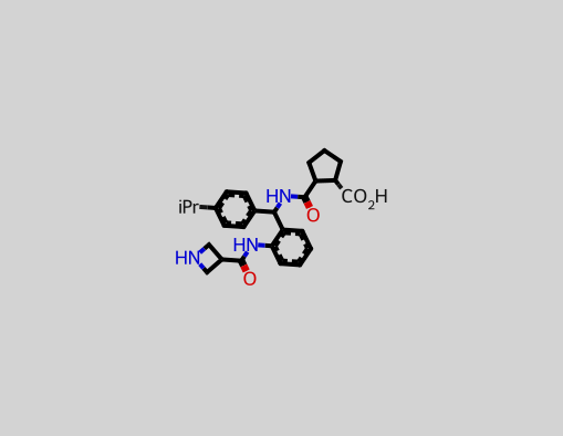 CC(C)c1ccc(C(NC(=O)C2CCCC2C(=O)O)c2ccccc2NC(=O)C2CNC2)cc1